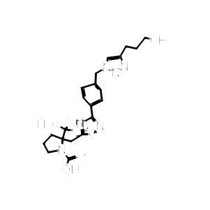 CCCCc1cn(Cc2ccc(-c3noc(CC4(C(C)(C)C)CCCN4C(=O)O)n3)cc2)nn1